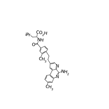 Cc1ccc2c(c1)nc(N)c1ncc(CCc3ccc(C(=O)NC(CC(C)C)C(=O)O)cc3C)cc12